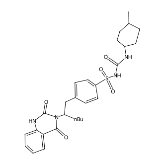 CCCCC(Cc1ccc(S(=O)(=O)NC(=O)NC2CCC(C)CC2)cc1)n1c(=O)[nH]c2ccccc2c1=O